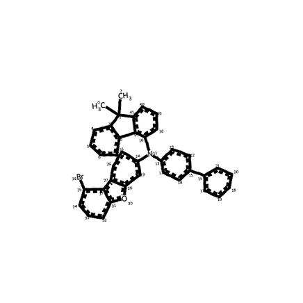 CC1(C)c2ccccc2-c2c(N(c3ccc(-c4ccccc4)cc3)c3ccc4c(c3)oc3cccc(Br)c34)cccc21